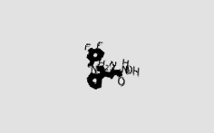 N[C@H](Cc1cn(Cc2ccc(F)c(F)c2)c2ccccc12)C(=O)NO